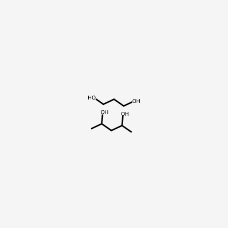 CC(O)CC(C)O.OCCCO